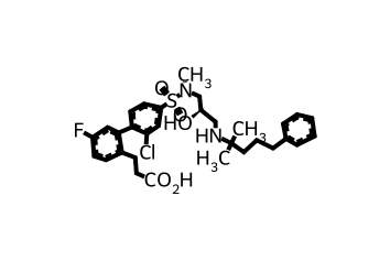 CN(C[C@H](O)CNC(C)(C)CCCc1ccccc1)S(=O)(=O)c1ccc(-c2cc(F)ccc2CCC(=O)O)c(Cl)c1